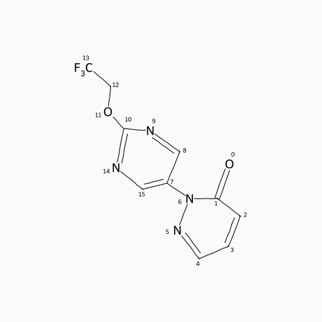 O=c1cccnn1-c1cnc(OCC(F)(F)F)nc1